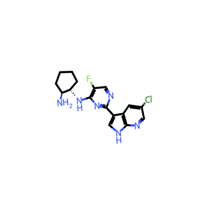 N[C@H]1CCCC[C@@H]1Nc1nc(-c2c[nH]c3ncc(Cl)cc23)ncc1F